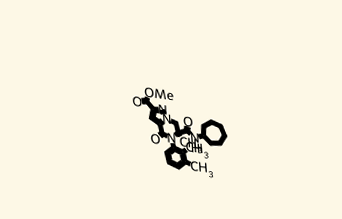 COC(=O)c1cc2n(n1)CC(C)(C(=O)NC1CCCCCC1)N(c1cccc(C)c1C)C2=O